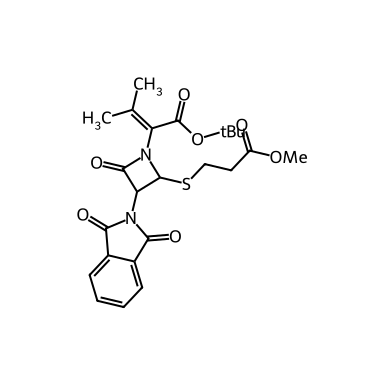 COC(=O)CCSC1C(N2C(=O)c3ccccc3C2=O)C(=O)N1C(C(=O)OC(C)(C)C)=C(C)C